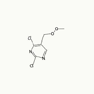 COOCc1cnc(Cl)nc1Cl